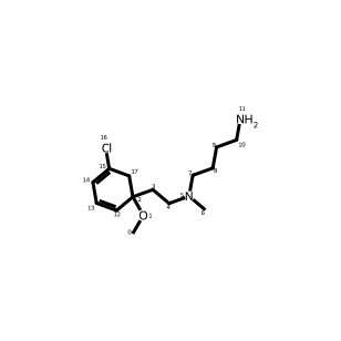 COC1(CCN(C)CCCCN)C=CC=C(Cl)C1